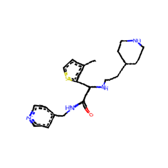 Cc1ccsc1C(NCCC1CCNCC1)C(=O)NCc1ccncc1